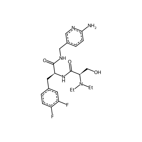 CCN(CC)[C@H](CO)C(=O)N[C@@H](Cc1ccc(F)c(F)c1)C(=O)NCc1ccc(N)nc1